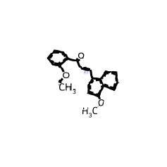 CCOc1ccccc1C(=O)/C=C/c1ccc(OC)c2ccccc12